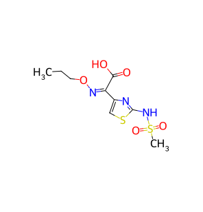 CCCON=C(C(=O)O)c1csc(NS(C)(=O)=O)n1